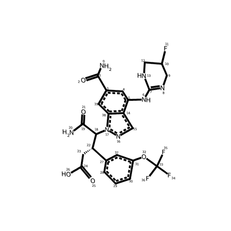 NC(=O)c1cc(NC2=NCC(F)CN2)c2cnn(C(C(N)=O)[C@@H](CC(=O)O)c3cccc(OC(F)(F)F)c3)c2c1